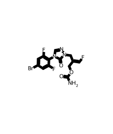 NC(=O)OC/C(=C/F)Cn1ncn(-c2c(F)cc(Br)cc2F)c1=O